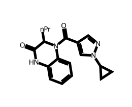 CCCC1C(=O)Nc2ccccc2N1C(=O)c1cnn(C2CC2)c1